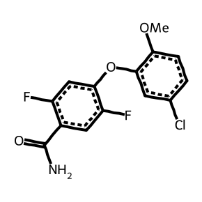 COc1ccc(Cl)cc1Oc1cc(F)c(C(N)=O)cc1F